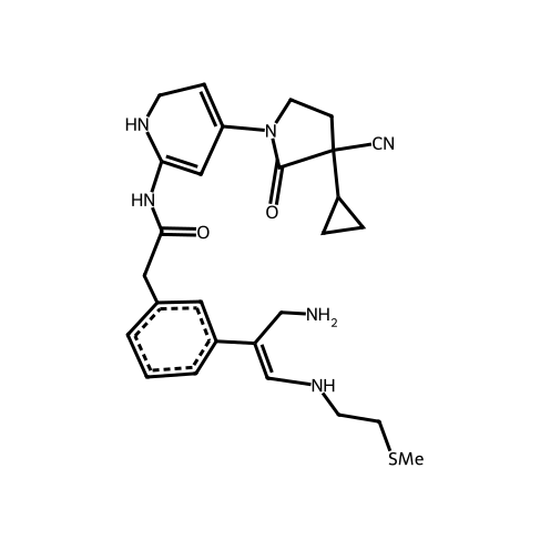 CSCCN/C=C(\CN)c1cccc(CC(=O)NC2=CC(N3CCC(C#N)(C4CC4)C3=O)=CCN2)c1